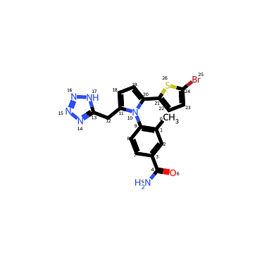 Cc1cc(C(N)=O)ccc1-n1c(Cc2nnn[nH]2)ccc1-c1ccc(Br)s1